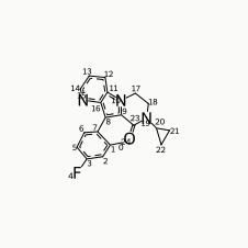 Cc1cc(F)ccc1-c1c2n(c3cccnc13)CCN(C1CC1)C2=O